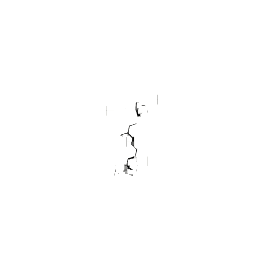 CCC(=CCCC(C)=CC(=O)OC)CC[C@@H]1O[C@@]1(C)CC